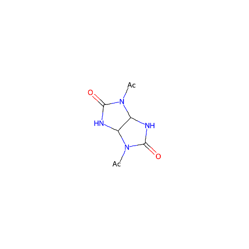 CC(=O)N1C(=O)NC2C1NC(=O)N2C(C)=O